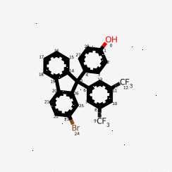 Oc1ccc(C2(c3cc(C(F)(F)F)cc(C(F)(F)F)c3)c3ccccc3-c3ccc(Br)cc32)cc1